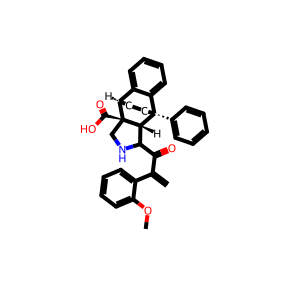 C=C(C(=O)C1NC[C@]2(C(=O)O)[C@@H]3CC[C@@](c4ccccc4)(c4ccccc43)[C@H]12)c1ccccc1OC